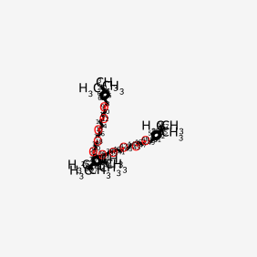 CC(C)(C)c1ccc(COCCOCCOCCOCCOc2cc(C(C)(C)C)cc(C(C)(C)C)c2OCCOCCOCCOCCOCc2ccc(C(C)(C)C)cc2)cc1